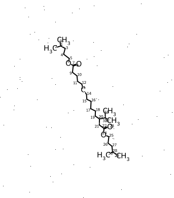 CC(C)CCCOC(=O)CCCCCCCCCCCC(CC(=O)OCCCC(C)C)C(C)C